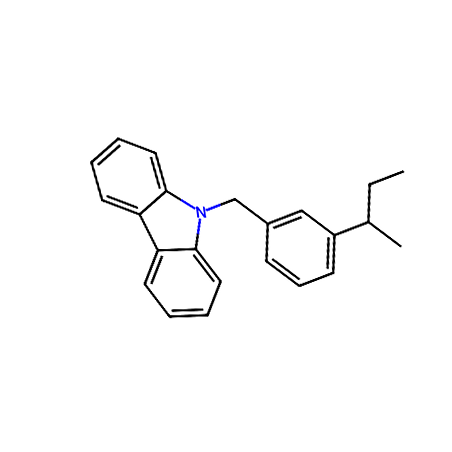 CCC(C)c1cccc(Cn2c3ccccc3c3ccccc32)c1